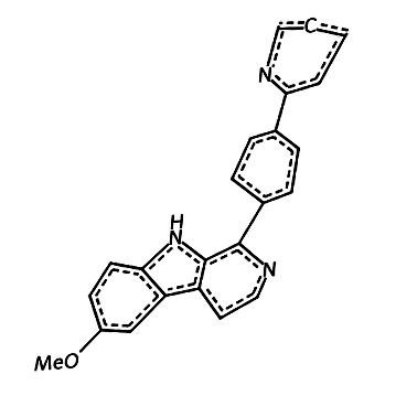 COc1ccc2[nH]c3c(-c4ccc(-c5ccccn5)cc4)nccc3c2c1